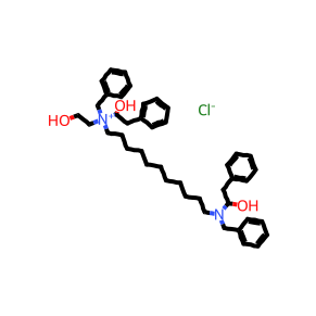 OCC[N+](CCCCCCCCCCCN(Cc1ccccc1)C(O)Cc1ccccc1)(Cc1ccccc1)C(O)Cc1ccccc1.[Cl-]